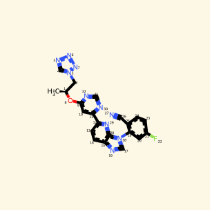 C[C@@H](Cn1cnnn1)Oc1cc(-c2ccc3ncn(-c4cc(F)ccc4C#N)c3n2)ncn1